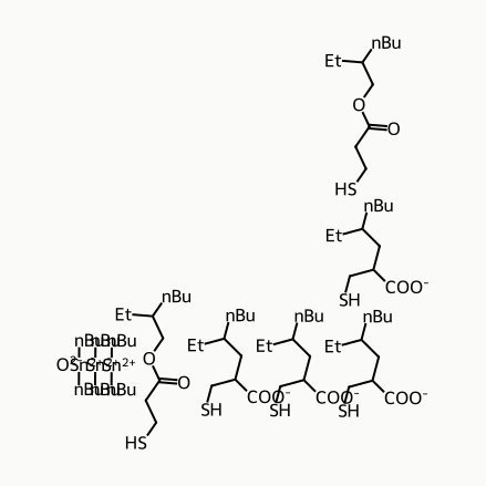 CCCCC(CC)CC(CS)C(=O)[O-].CCCCC(CC)CC(CS)C(=O)[O-].CCCCC(CC)CC(CS)C(=O)[O-].CCCCC(CC)CC(CS)C(=O)[O-].CCCCC(CC)COC(=O)CCS.CCCCC(CC)COC(=O)CCS.CCC[CH2][Sn+2][CH2]CCC.CCC[CH2][Sn+2][CH2]CCC.CCC[CH2][Sn+2][CH2]CCC.[O-2]